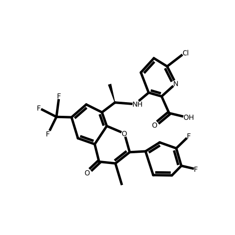 Cc1c(-c2ccc(F)c(F)c2)oc2c([C@@H](C)Nc3ccc(Cl)nc3C(=O)O)cc(C(F)(F)F)cc2c1=O